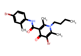 CCCCn1c(C)c(Br)c(=O)c(C(=O)Nc2ccc(Br)cc2C)c1C